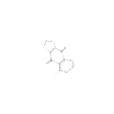 O=C1C2=C(OCO2)C(=O)c2c(Cl)cccc21